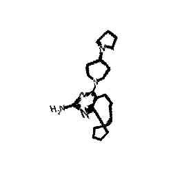 Nc1nc(N2CCC(N3CCCC3)CC2)c2c(n1)C1(CCCC1)CCC2